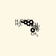 Cc1ccc(NC[C@@]2(C)CCC[C@]3(C)c4ccc(C(C)C)cc4CC[C@@H]23)c([N+](=O)[O-])c1